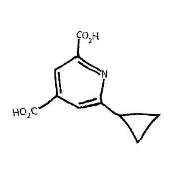 O=C(O)c1cc(C(=O)O)nc(C2CC2)c1